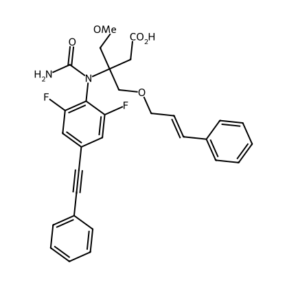 COCC(COCC=Cc1ccccc1)(CC(=O)O)N(C(N)=O)c1c(F)cc(C#Cc2ccccc2)cc1F